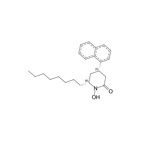 CCCCCCCC[C@@H]1C[C@H](c2cccc3ccccc23)CC(=O)N1O